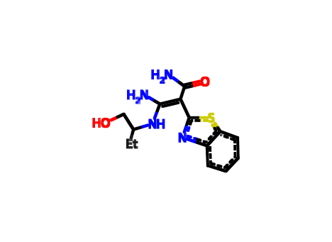 CCC(CO)N/C(N)=C(/C(N)=O)c1nc2ccccc2s1